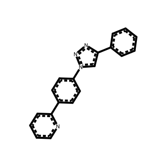 c1ccc(-c2cn(-c3ccc(-c4ccccn4)cc3)nn2)cc1